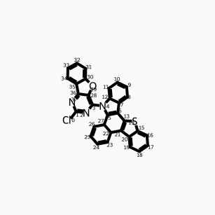 Clc1nc(-n2c3c(c4ccccc42)-c2sc4ccccc4c2C2C=CC=CC32)c2oc3ccccc3c2n1